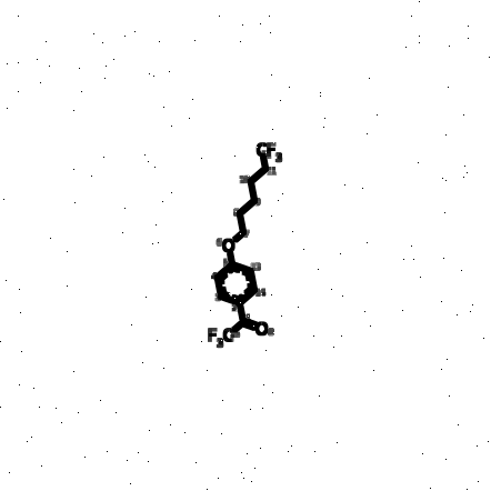 O=C(c1ccc(OCCCCCC(F)(F)F)cc1)C(F)(F)F